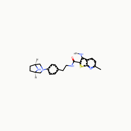 CCCNc1c(C(=O)NCCc2ccc(N3C[C@H]4CC[C@@H](C3)N4)cc2)sc2nc(C)ccc12